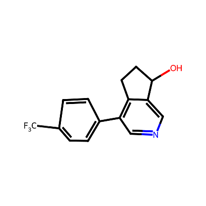 OC1CCc2c(-c3ccc(C(F)(F)F)cc3)cncc21